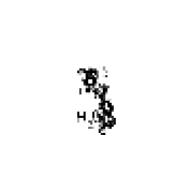 CN1C(=O)COc2ccc(-c3ccnc(Nc4ccc([S+](N)[O-])cc4)n3)cc21